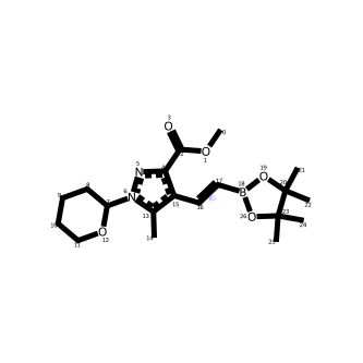 COC(=O)c1nn(C2CCCCO2)c(C)c1/C=C/B1OC(C)(C)C(C)(C)O1